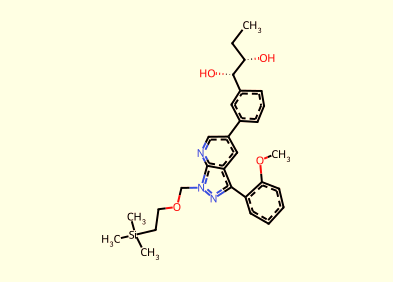 CC[C@H](O)[C@@H](O)c1cccc(-c2cnc3c(c2)c(-c2ccccc2OC)nn3COCC[Si](C)(C)C)c1